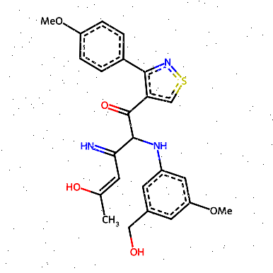 COc1ccc(-c2nscc2C(=O)C(Nc2cc(CO)cc(OC)c2)C(=N)/C=C(/C)O)cc1